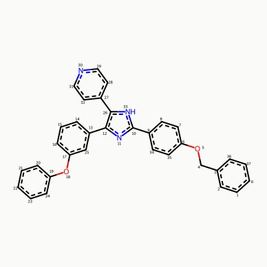 c1ccc(COc2ccc(-c3nc(-c4cccc(Oc5ccccc5)c4)c(-c4ccncc4)[nH]3)cc2)cc1